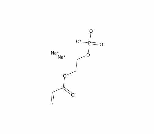 C=CC(=O)OCCOP(=O)([O-])[O-].[Na+].[Na+]